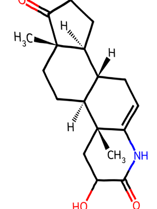 C[C@]12CC(O)C(=O)NC1=CC[C@@H]1[C@@H]2CC[C@]2(C)C(=O)CC[C@@H]12